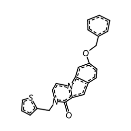 O=c1c2cc3ccc(OCc4ccccc4)cc3n2ccn1Cc1cccs1